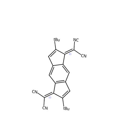 [C-]#[N+]/C(C#N)=C1/C(C(C)(C)C)=Cc2cc3c(cc21)C=C(C(C)(C)C)/C3=C(/C#N)[N+]#[C-]